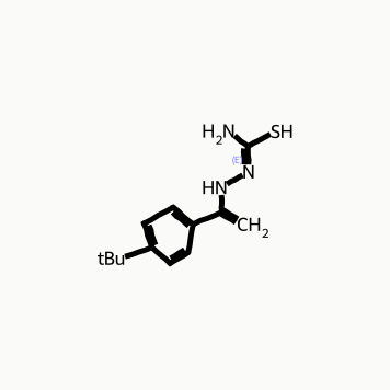 C=C(N/N=C(\N)S)c1ccc(C(C)(C)C)cc1